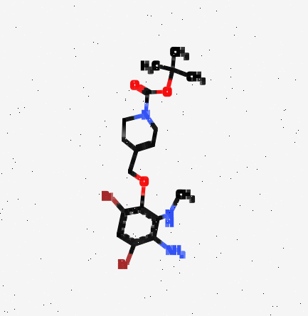 CNc1c(N)c(Br)cc(Br)c1OCC1=CCN(C(=O)OC(C)(C)C)CC1